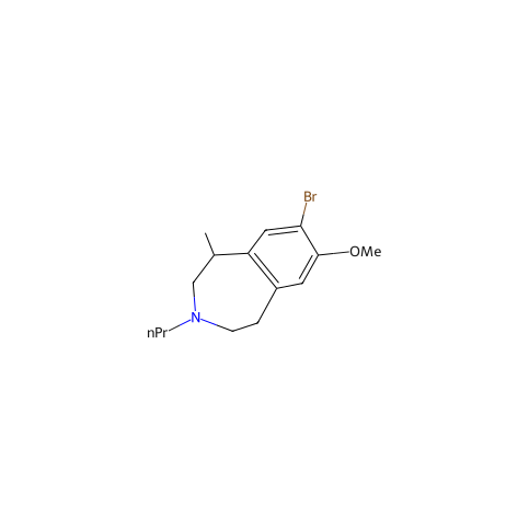 CCCN1CCc2cc(OC)c(Br)cc2C(C)C1